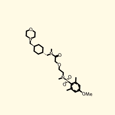 COc1cc(C)c(S(=O)(=O)N(C)CCOCC(=O)N(C)C[C@H]2CC[C@H](CN3CCOCC3)CC2)c(C)c1